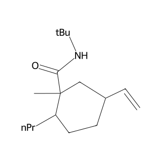 C=CC1CCC(CCC)C(C)(C(=O)NC(C)(C)C)C1